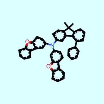 CC1(C)c2ccc(N(c3ccc4c(c3)oc3ccccc34)c3ccc4oc5ccccc5c4c3)cc2-c2c(-c3ccccc3)cccc21